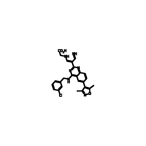 Cc1noc(C)c1-c1ccc2nc(/C(C=N)=C/NCC(=O)O)nc(NCc3cccc(Cl)c3)c2c1